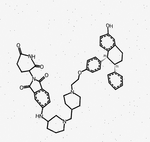 O=C1CCC(N2C(=O)c3ccc(NC4CCCN(CC5CCN(CCOc6ccc([C@@H]7c8ccc(O)cc8CC[C@@H]7c7ccccc7)cc6)CC5)C4)cc3C2=O)C(=O)N1